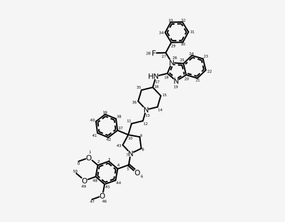 COc1cc(C(=O)N2CCC(CCN3CCC(Nc4nc5ccccc5n4C(F)c4ccccc4)CC3)(c3ccccc3)C2)cc(OC)c1OC